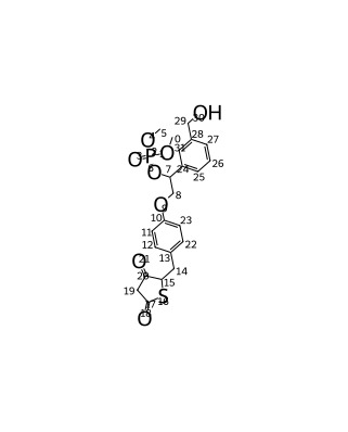 COP(=O)(OC)OC(COc1ccc(CC2SC(=O)CC2=O)cc1)c1cccc(CO)c1